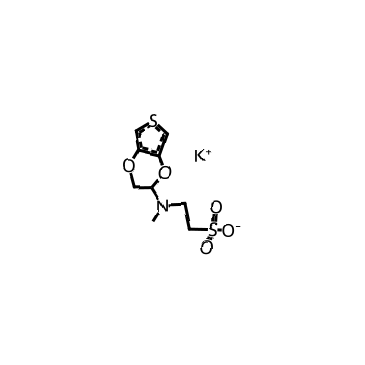 CN(CCS(=O)(=O)[O-])C1COc2cscc2O1.[K+]